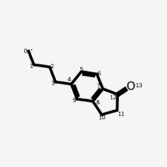 [CH2]CCCc1ccc2c(c1)CCC2=O